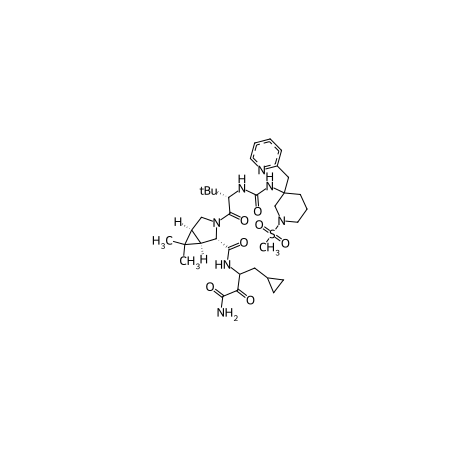 CC(C)(C)[C@H](NC(=O)NC1(Cc2ccccn2)CCCN(S(C)(=O)=O)C1)C(=O)N1C[C@H]2[C@@H]([C@H]1C(=O)NC(CC1CC1)C(=O)C(N)=O)C2(C)C